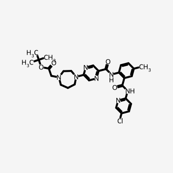 Cc1ccc(NC(=O)c2cnc(N3CCCN(CC(=O)OC(C)(C)C)CC3)cn2)c(C(=O)Nc2ccc(Cl)cn2)c1